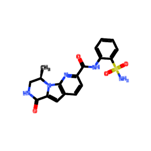 C[C@@H]1CNC(=O)c2cc3ccc(C(=O)Nc4ccccc4S(N)(=O)=O)nc3n21